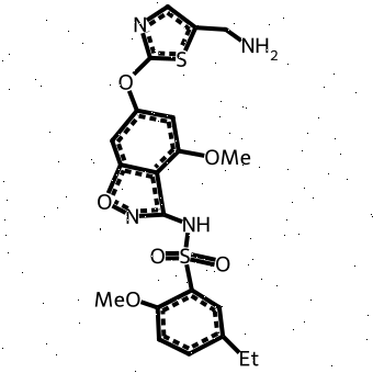 CCc1ccc(OC)c(S(=O)(=O)Nc2noc3cc(Oc4ncc(CN)s4)cc(OC)c23)c1